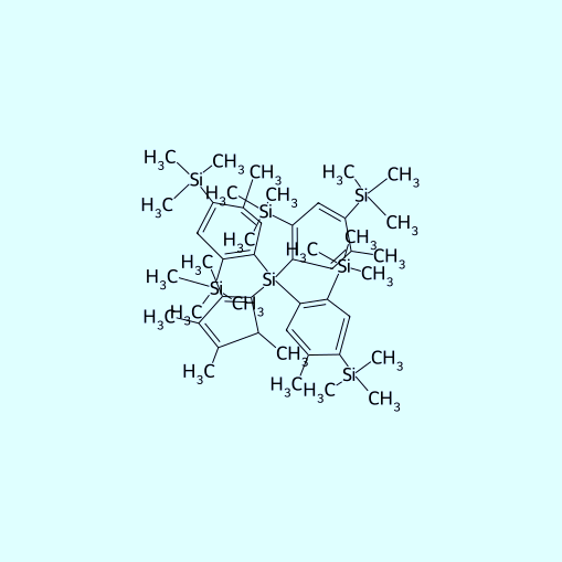 CC1=C(C)C(C)C([Si](c2cc(C)c([Si](C)(C)C)cc2[Si](C)(C)C)(c2cc(C)c([Si](C)(C)C)cc2[Si](C)(C)C)c2cc(C)c([Si](C)(C)C)cc2[Si](C)(C)C)=C1C